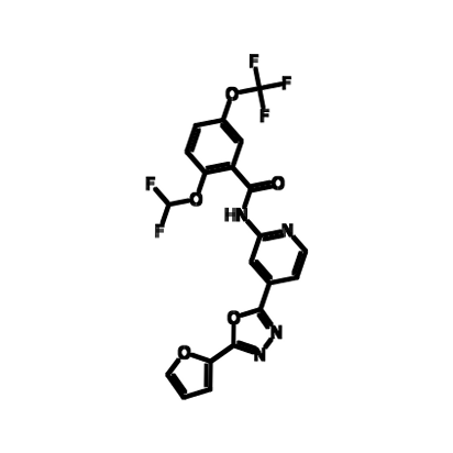 O=C(Nc1cc(-c2nnc(-c3ccco3)o2)ccn1)c1cc(OC(F)(F)F)ccc1OC(F)F